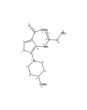 COC(=O)c1csc(N2CCC(OC)CC2)c1NC(=O)OC(C)(C)C